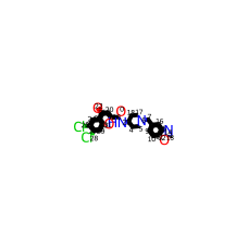 O=C(NC1CCN(Cc2ccc3ocnc3c2)CC1)c1cc(=O)c2cc(Cl)c(Cl)cc2o1